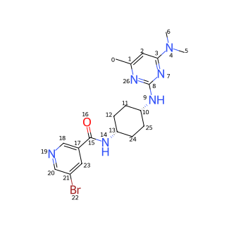 Cc1cc(N(C)C)nc(N[C@H]2CC[C@@H](NC(=O)c3cncc(Br)c3)CC2)n1